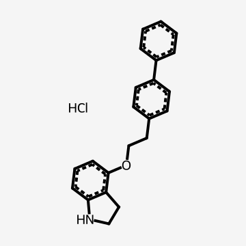 Cl.c1ccc(-c2ccc(CCOc3cccc4c3CCN4)cc2)cc1